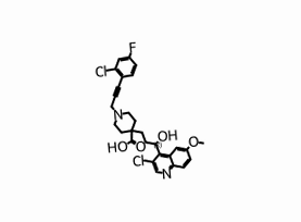 COc1ccc2ncc(Cl)c([C@H](O)CCC3(C(=O)O)CCN(CC#Cc4ccc(F)cc4Cl)CC3)c2c1